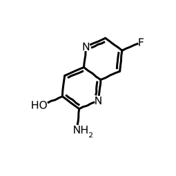 Nc1nc2cc(F)cnc2cc1O